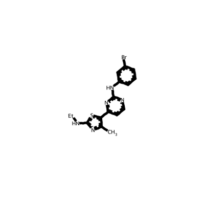 CCNc1nc(C)c(-c2ccnc(Nc3cccc(Br)c3)n2)s1